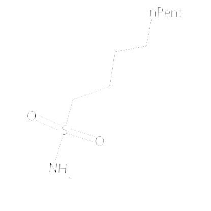 CCCCCCCCCS(N)(=O)=O